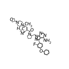 CC(C)(C=C(C#N)C(=O)N1CCCC1Cn1nc(-c2ccc(Oc3ccccc3)cc2F)c2c(N)ncnc21)N1CCN(C2COC2)CC1